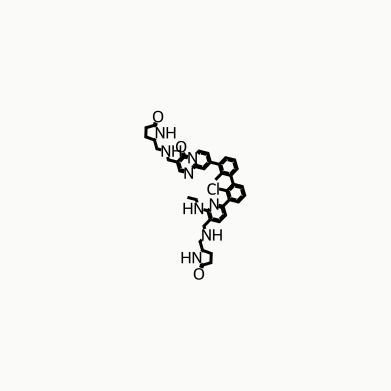 CCNc1nc(-c2cccc(-c3cccc(-c4ccn5c(=O)c(CNCC6CCC(=O)N6)cnc5c4)c3C)c2Cl)ccc1CNCC1CCC(=O)N1